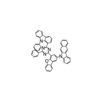 c1ccc(-c2nc(-c3cc(-n4c5ccccc5c5cc6ccccc6cc54)cc4c3oc3ccccc34)nc(-c3cccc4c5ccccc5n(-c5ccccc5)c34)n2)cc1